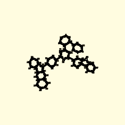 c1ccc(-c2ccccc2-c2nc(-c3ccc(-n4c5ccccc5c5cc6ccccc6cc54)cc3)nc(-c3ccc4c(c3)oc3ccccc34)n2)cc1